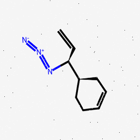 C=C[C@H](N=[N+]=[N-])[C@H]1CC=CCC1